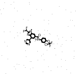 Cn1c(C(F)F)nc2c(-c3cncnc3)cc(C(=O)Nc3ccc(OC(F)(F)Cl)cc3)cc21